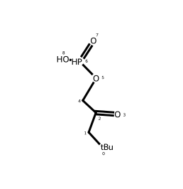 CC(C)(C)CC(=O)CO[PH](=O)O